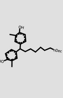 CCCCCCCCCCCCCCCCC(c1ccc(O)c(C)c1)c1ccc(O)c(C)c1